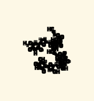 C#CCOP(=O)(O)OP(=O)(O)OP(=O)(O)OC[C@@H]1CC[C@H](n2cc(C)c(=O)[nH]c2=O)O1.C#CCOP(=O)(O)OP(=O)(O)OP(=O)(O)OC[C@H]1O[C@@H](n2cc(C)c(=O)[nH]c2=O)C[C@@H]1O